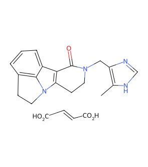 Cc1[nH]cnc1CN1CCc2c(c3cccc4c3n2CC4)C1=O.O=C(O)C=CC(=O)O